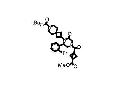 COC(=O)C12CC(C(=O)N3CC(=O)N(C4CC5(CCN(C(=O)OC(C)(C)C)CC5)C4)C(c4ccccc4C(C)C)C3)(C1)C2